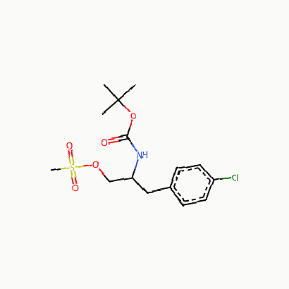 CC(C)(C)OC(=O)NC(COS(C)(=O)=O)Cc1ccc(Cl)cc1